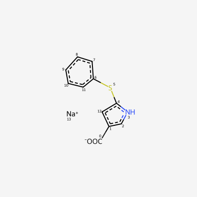 O=C([O-])c1c[nH]c(Sc2ccccc2)c1.[Na+]